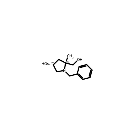 C[C@]1(CO)C[C@@H](O)CN1Cc1ccccc1